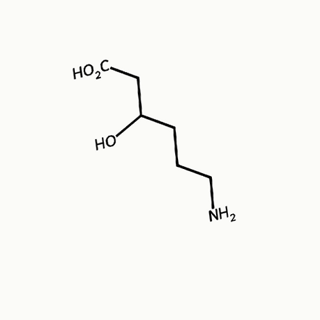 NCCCC(O)CC(=O)O